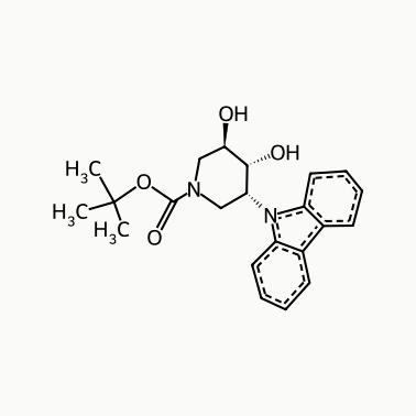 CC(C)(C)OC(=O)N1C[C@@H](O)[C@H](O)[C@H](n2c3ccccc3c3ccccc32)C1